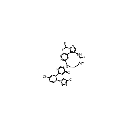 C[C@H]1CCC[C@H](n2cnc(C3C=C(Cl)C=CC3n3cc(Cl)nn3)cc2=O)c2cc(ccn2)-c2c(cnn2C(F)F)NC1=O